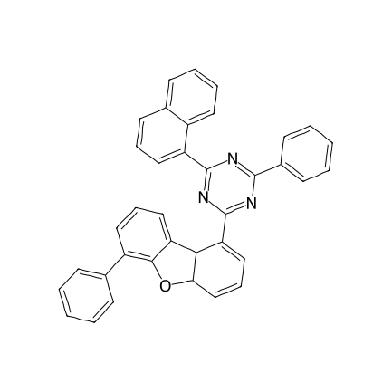 C1=CC2Oc3c(-c4ccccc4)cccc3C2C(c2nc(-c3ccccc3)nc(-c3cccc4ccccc34)n2)=C1